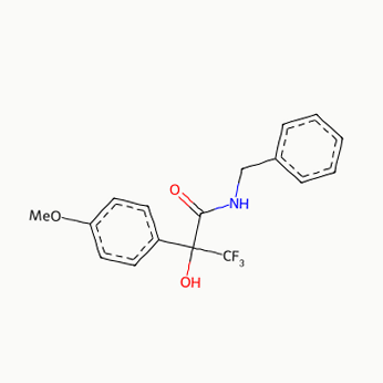 COc1ccc(C(O)(C(=O)NCc2ccccc2)C(F)(F)F)cc1